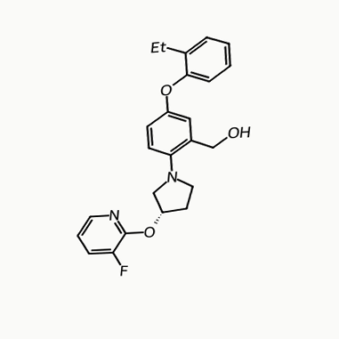 CCc1ccccc1Oc1ccc(N2CC[C@H](Oc3ncccc3F)C2)c(CO)c1